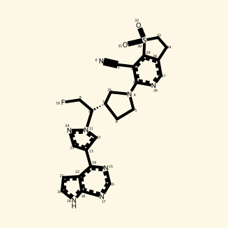 N#Cc1c(N2CC[C@H](C(CF)n3cc(-c4ncnc5[nH]ccc45)cn3)C2)ncc2c1S(=O)(=O)CC2